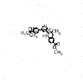 CCOC(=O)c1ccc2c(c1)CC(C)(C)C(c1cncc(-c3ccc(C(C)(C)C)cc3)c1)N2